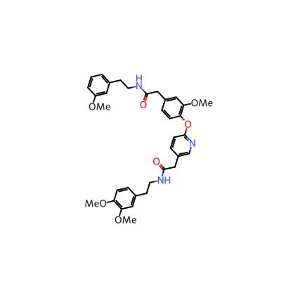 COc1cccc(CCNC(=O)Cc2ccc(Oc3ccc(CC(=O)NCCc4ccc(OC)c(OC)c4)cn3)c(OC)c2)c1